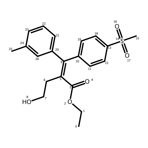 CCOC(=O)C(CCO)=C(c1ccc(S(C)(=O)=O)cc1)c1cccc(C)c1